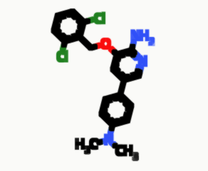 CN(C)c1ccc(-c2cnc(N)c(OCc3c(Cl)cccc3Cl)c2)cc1